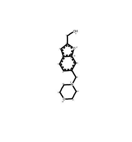 OCc1cc2ccc(CN3CCOCC3)cc2o1